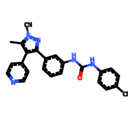 Cc1c(-c2ccncc2)c(-c2cccc(NC(=O)Nc3ccc(C(F)(F)F)cc3)c2)nn1C#N